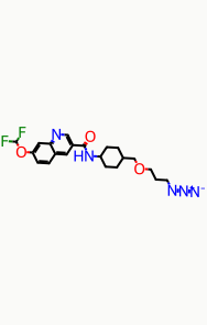 [N-]=[N+]=NCCCOCC1CCC(NC(=O)c2cnc3cc(OC(F)F)ccc3c2)CC1